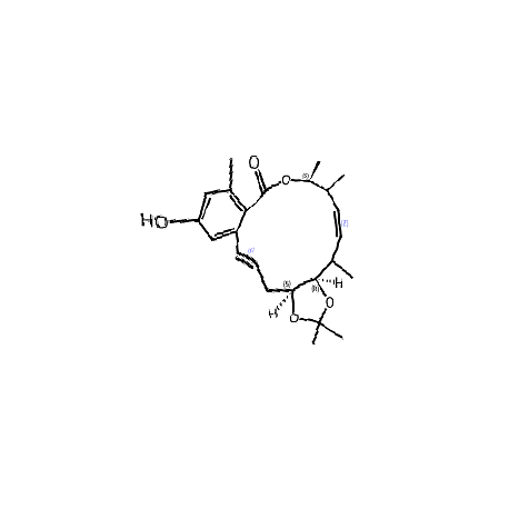 Cc1cc(O)cc2c1C(=O)O[C@@H](C)C(C)/C=C\C(C)[C@H]1OC(C)(C)O[C@H]1C/C=C/2